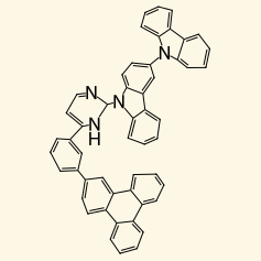 C1=NC(n2c3ccccc3c3cc(-n4c5ccccc5c5ccccc54)ccc32)NC(c2cccc(-c3ccc4c5ccccc5c5ccccc5c4c3)c2)=C1